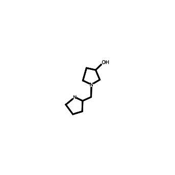 OC1CCN(CC2CCC[N]2)C1